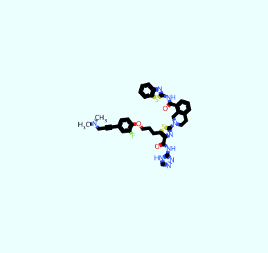 CN(C)CC#Cc1ccc(OCCCc2sc(N3CCc4cccc(C(=O)Nc5nc6ccccc6s5)c4C3)nc2C(=O)Nc2nnc[nH]2)c(F)c1